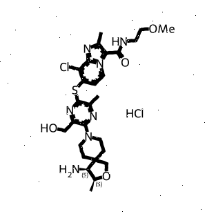 COCCNC(=O)c1c(C)nc2c(Cl)c(Sc3nc(CO)c(N4CCC5(CC4)CO[C@@H](C)[C@H]5N)nc3C)ccn12.Cl